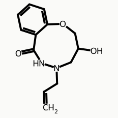 C=CCN1CC(O)COc2ccccc2C(=O)N1